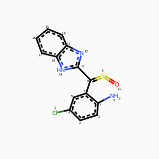 Nc1ccc(Cl)cc1C(=S=O)c1nc2ccccc2[nH]1